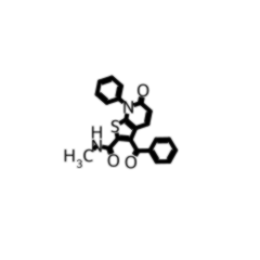 CNC(=O)c1sc2c(ccc(=O)n2-c2ccccc2)c1C(=O)c1ccccc1